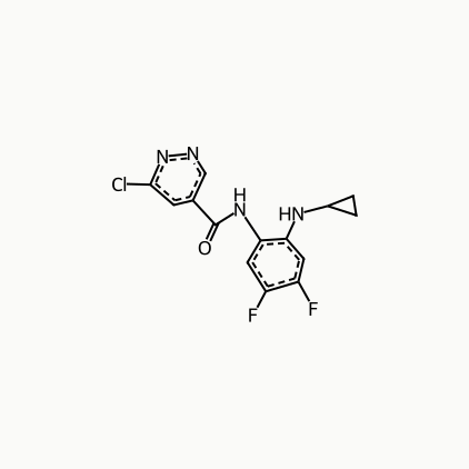 O=C(Nc1cc(F)c(F)cc1NC1CC1)c1cnnc(Cl)c1